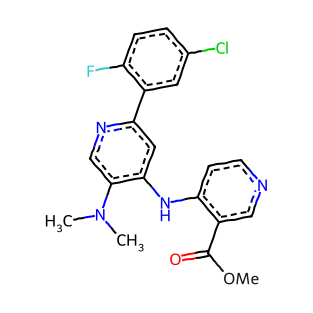 COC(=O)c1cnccc1Nc1cc(-c2cc(Cl)ccc2F)ncc1N(C)C